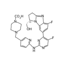 O=C(O)N1CCN(Cc2ccc(Nc3ncc(F)c(-c4cc(F)c5nc6n(c5c4)[C@H](CO)CC6)n3)nc2)CC1